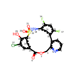 O=C1OCc2ncccc2-c2cc(c(F)cc2F)NS(=O)(=O)c2cc1cc(Cl)c2O